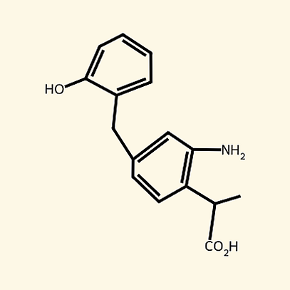 CC(C(=O)O)c1ccc(Cc2ccccc2O)cc1N